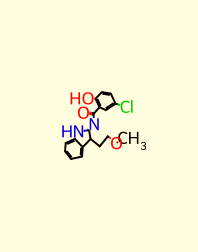 COCCC1C(=NC(=O)c2cc(Cl)ccc2O)Nc2ccccc21